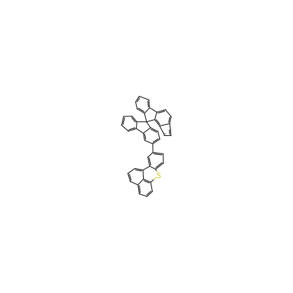 c1ccc2c(c1)-c1cc(-c3ccc4c(c3)-c3cccc5cccc(c35)S4)ccc1C21c2ccccc2-c2ccc3ccccc3c21